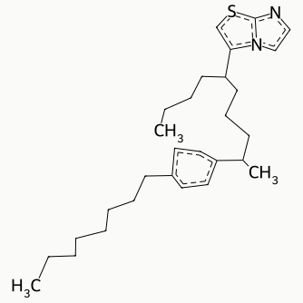 CCCCCCCCc1ccc(C(C)CCCC(CCCC)c2csc3nccn23)cc1